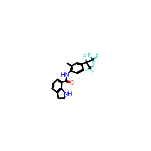 Cc1cc(C(F)(C(F)(F)F)C(F)(F)F)ccc1NC(=O)c1cccc2c1NCC2